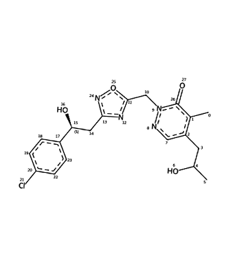 Cc1c(CC(C)O)cnn(Cc2nc(C[C@H](O)c3ccc(Cl)cc3)no2)c1=O